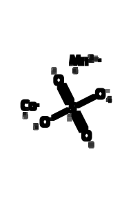 O=S(=O)([O-])[O-].[Co].[Mn+2]